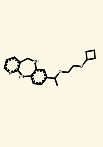 CC(OCCOC1CCC1)c1ccc2c(c1)NCc1cccnc1N2